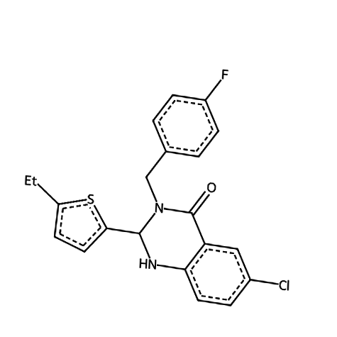 CCc1ccc(C2Nc3ccc(Cl)cc3C(=O)N2Cc2ccc(F)cc2)s1